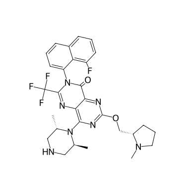 C[C@H]1CNC[C@H](C)N1c1nc(OC[C@@H]2CCCN2C)nc2c(=O)n(-c3cccc4cccc(F)c34)c(C(F)(F)F)nc12